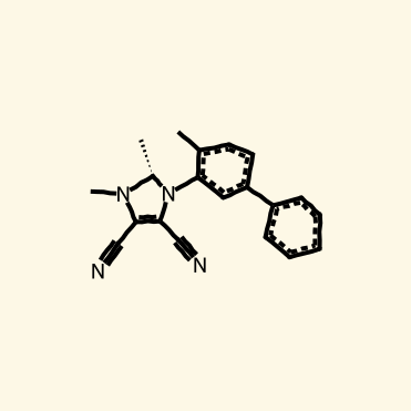 Cc1ccc(-c2ccccc2)cc1N1C(C#N)=C(C#N)N(C)[C@@H]1C